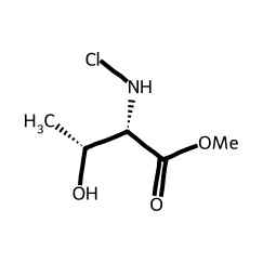 COC(=O)[C@@H](NCl)[C@@H](C)O